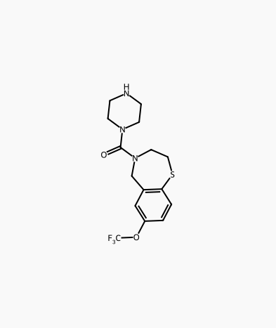 O=C(N1CCNCC1)N1CCSc2ccc(OC(F)(F)F)cc2C1